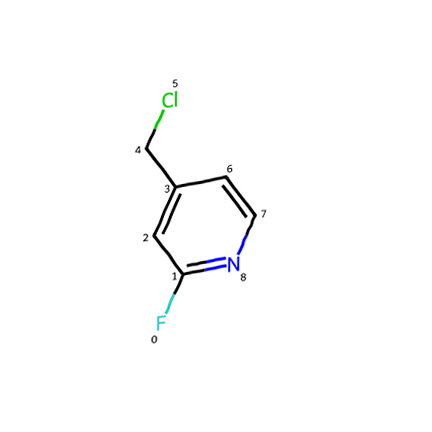 Fc1cc(CCl)ccn1